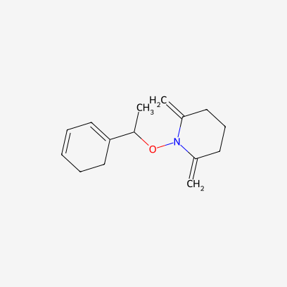 C=C1CCCC(=C)N1OC(C)C1=CC=CCC1